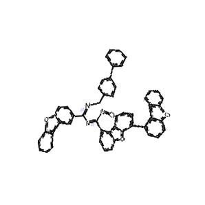 C=N/C(=N\C(=N/Cc1ccc(-c2ccccc2)cc1)c1ccc2oc3ccccc3c2c1)c1cccc2oc3c(-c4cccc5oc6ccccc6c45)cccc3c12